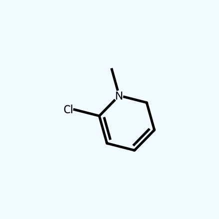 CN1CC=CC=C1Cl